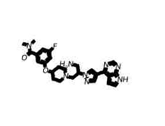 CN(C)C(=O)c1cc(F)cc(OC2CCN(CC(CN)n3cc(-c4ncnc5[nH]ccc45)cn3)CC2)c1